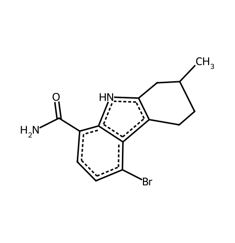 CC1CCc2c([nH]c3c(C(N)=O)ccc(Br)c23)C1